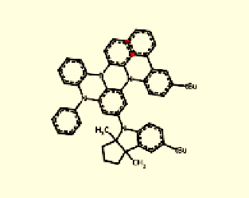 CC(C)(C)c1ccc(N2c3ccccc3B3c4ccccc4N(c4ccccc4)c4cc(N5c6ccc(C(C)(C)C)cc6C6(C)CCCC56C)cc2c43)c(-c2ccccc2)c1